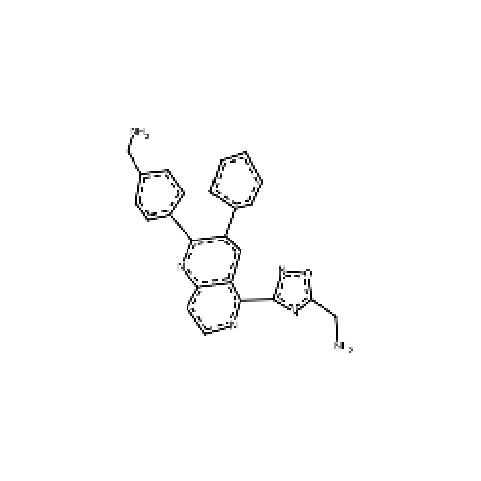 NCc1ccc(-c2nc3ccnc(-c4noc(CN)n4)c3cc2-c2ccccc2)cc1